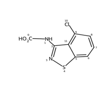 O=C(O)Nc1nsc2cccc(Cl)c12